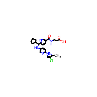 Cc1nn(-c2ccc(N[C@@H](c3ccc(C(=O)NCCC(=O)O)cn3)C3CCCC3)cn2)cc1Cl